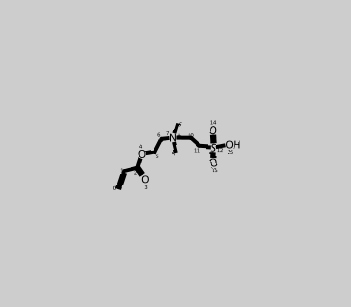 C=CC(=O)OCC[N+](C)(C)CCS(=O)(=O)O